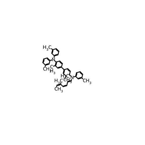 C=C(/C=C\C(=C/CC)c1ccc(N(c2cccc(C)c2)c2cccc(C)c2)c(C)c1)N(/C=C/C=C\C(C)=C/C)c1cccc(C)c1